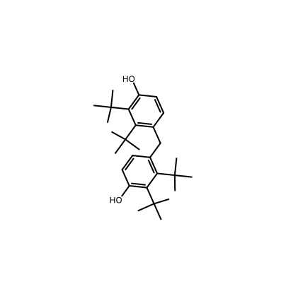 CC(C)(C)c1c(O)ccc(Cc2ccc(O)c(C(C)(C)C)c2C(C)(C)C)c1C(C)(C)C